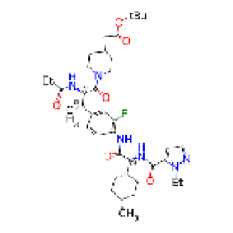 CCC(=O)N[C@@H](C(=O)N1CCC(CC(=O)OC(C)(C)C)CC1)[C@@H](C)c1ccc(NC(=O)[C@@H](NC(=O)c2ccnn2CC)[C@H]2CC[C@H](C)CC2)c(F)c1